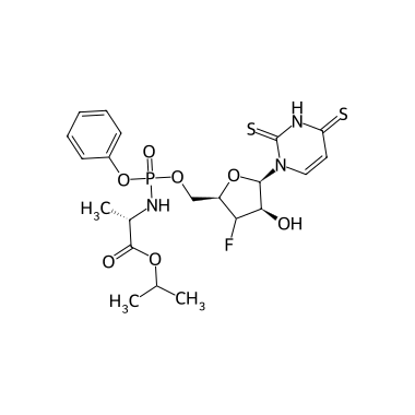 CC(C)OC(=O)[C@H](C)NP(=O)(OC[C@H]1O[C@@H](n2ccc(=S)[nH]c2=S)[C@@H](O)C1F)Oc1ccccc1